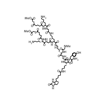 CNCC(=O)N[C@@H](CCCCNC(=O)C(CCCCNC(=O)CNC(=O)C(CCCCN)NC(=O)CCCC(=O)SCC(=O)OC)NC(=O)CNC(=O)[C@H](CCCCN)NC(=O)CCCC(=O)SCC(=O)OC)C(=O)NCC(=O)N[C@@H](CCCCNC(=O)CCCCC1SCC2NC(=O)NC21)C(=O)NC(Cc1ccc(O)cc1)C(N)=O